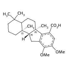 COc1cc(C(=O)O)c2c(c1OC)C[C@H]1[C@@]2(C)CCC2C(C)(C)CCC[C@@]21C